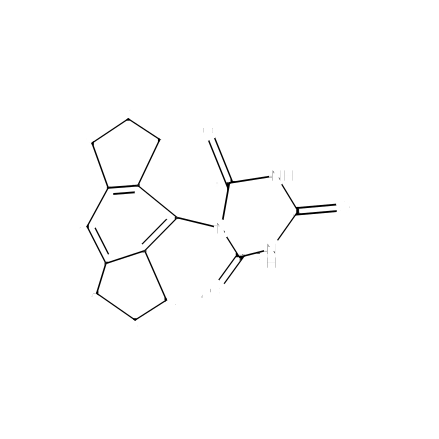 O=c1[nH]c(=O)n(-c2c3c(cc4c2CCC4)CCC3)c(=O)[nH]1